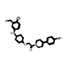 CCCc1ccc(C2CCN(C(=O)COC3CCC(Nc4ccc(C#N)c(CF)c4)CC3)CC2)cc1